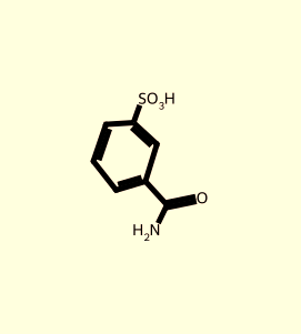 NC(=O)c1cccc(S(=O)(=O)O)c1